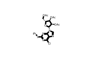 CC(=O)OC[C@H]1O[C@@H](n2cnc3c(Cl)nc(SC(C)C)nc32)[C@H](OC(C)=O)[C@@H]1OC(C)=O